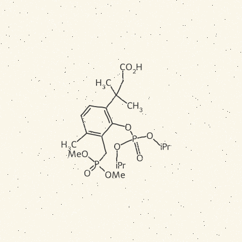 COP(=O)(Cc1c(C)ccc(C(C)(C)CC(=O)O)c1OP(=O)(OC(C)C)OC(C)C)OC